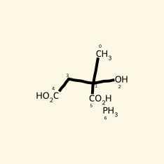 CC(O)(CC(=O)O)C(=O)O.P